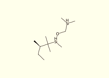 CC[C@@H](C)C(C)(C)[SiH](C)OC[SiH](C)C